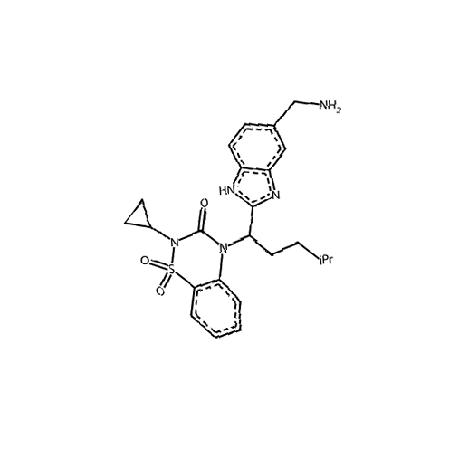 CC(C)CCC(c1nc2cc(CN)ccc2[nH]1)N1C(=O)N(C2CC2)S(=O)(=O)c2ccccc21